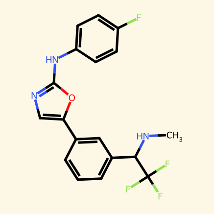 CNC(c1cccc(-c2cnc(Nc3ccc(F)cc3)o2)c1)C(F)(F)F